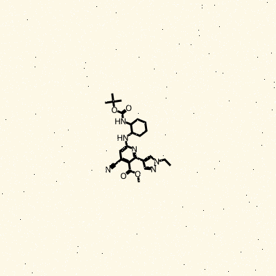 CCn1cc(-c2nc(NC3CCCCC3NC(=O)OC(C)(C)C)cc(C#N)c2C(=O)OC)cn1